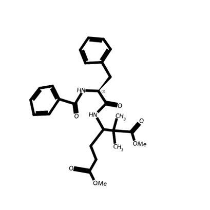 COC(=O)CCC(NC(=O)[C@H](Cc1ccccc1)NC(=O)c1ccccc1)C(C)(C)C(=O)OC